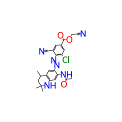 CC(=O)Nc1cc2c(cc1/N=N/c1c(Cl)cc(C(=O)OCC#N)cc1C#N)C(C)CC(C)(C)N2